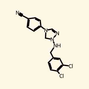 N#Cc1ccc(N2C=NN(NCc3ccc(Cl)c(Cl)c3)C2)cc1